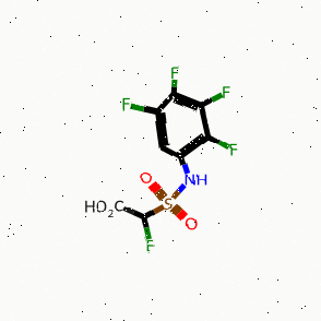 O=C(O)C(F)S(=O)(=O)Nc1cc(F)c(F)c(F)c1F